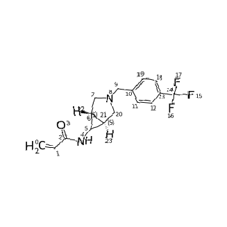 C=CC(=O)NC1[C@@H]2CN(Cc3ccc(C(F)(F)F)cc3)C[C@@H]12